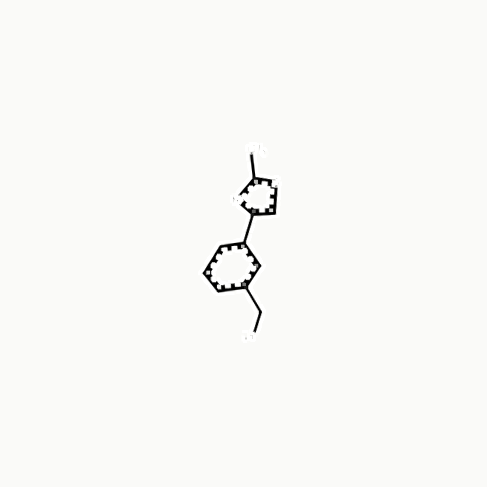 Cc1nc(-c2cccc(CC(C)C)c2)cs1